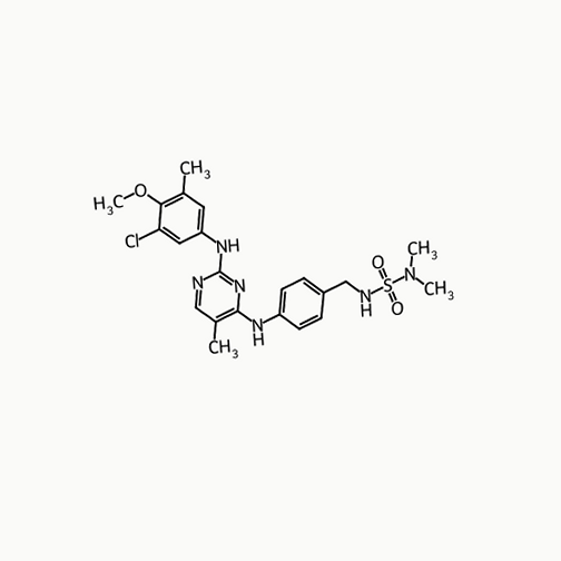 COc1c(C)cc(Nc2ncc(C)c(Nc3ccc(CNS(=O)(=O)N(C)C)cc3)n2)cc1Cl